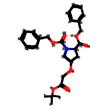 CC(C)(C)OC(=O)COC1CC(C(=O)OCc2ccccc2)N(C(=O)OCc2ccccc2)C1